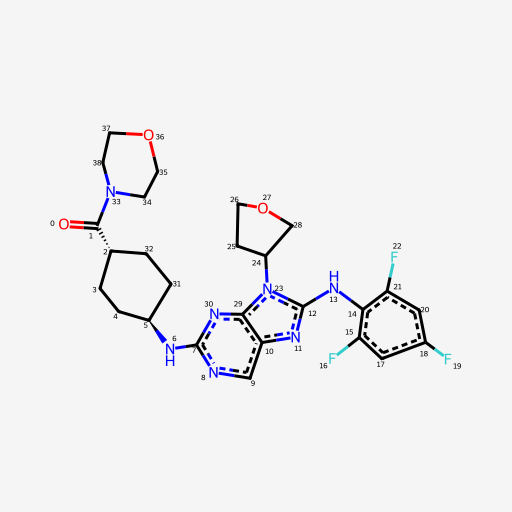 O=C([C@H]1CC[C@H](Nc2ncc3nc(Nc4c(F)cc(F)cc4F)n(C4CCOC4)c3n2)CC1)N1CCOCC1